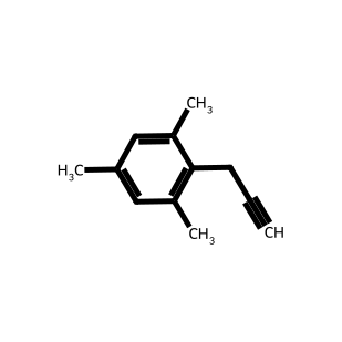 C#CCc1c(C)cc(C)cc1C